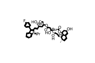 CC[C@H](C)C(=O)O[C@H]1C[C@H](O)C=C2C=C[C@H](C)[C@H](CC[C@@H](O)C[C@@H](O)CC(=O)O[C@H](CC(=O)O)C[C@@H](O)/C=C/c3c(-c4ccc(F)cc4)c4ccccc4n3C(C)C)[C@H]21